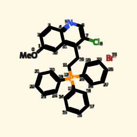 COc1ccc2ncc(Cl)c(CC[P+](c3ccccc3)(c3ccccc3)c3ccccc3)c2c1.[Br-]